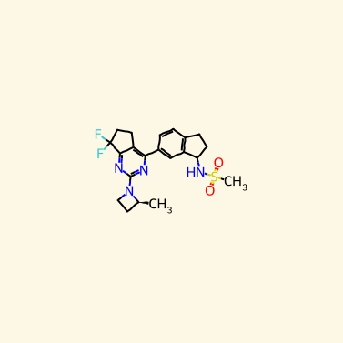 C[C@H]1CCN1c1nc(-c2ccc3c(c2)C(NS(C)(=O)=O)CC3)c2c(n1)C(F)(F)CC2